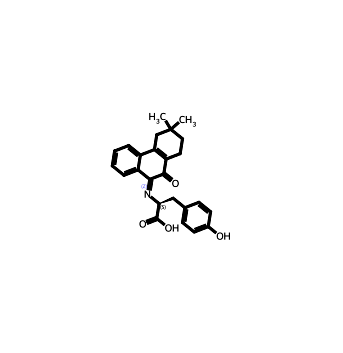 CC1(C)CCC2=C(C1)c1ccccc1/C(=N/[C@@H](Cc1ccc(O)cc1)C(=O)O)C2=O